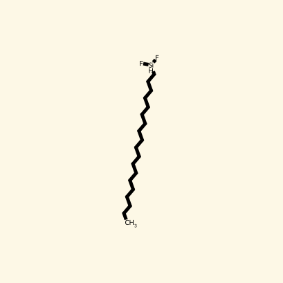 CCCCCCCCCCCCCCCCCCC[SiH](F)F